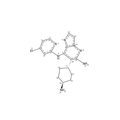 CCc1ccnc(Nc2c3nccn3nc(N)c2[C@H]2CC[C@H](N)CC2)c1